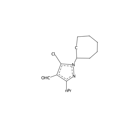 CCCc1nn(C2CCCCCC2)c(Cl)c1C=O